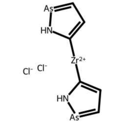 C1=[As]N[C]([Zr+2][C]2=CC=[As]N2)=C1.[Cl-].[Cl-]